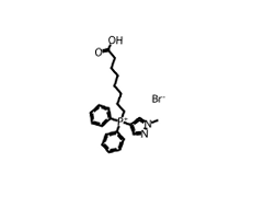 Cn1cc([P+](CCCCCCCC(=O)O)(c2ccccc2)c2ccccc2)cn1.[Br-]